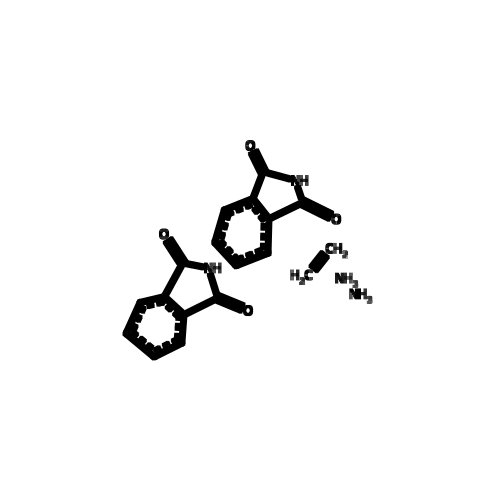 C=C.N.N.O=C1NC(=O)c2ccccc21.O=C1NC(=O)c2ccccc21